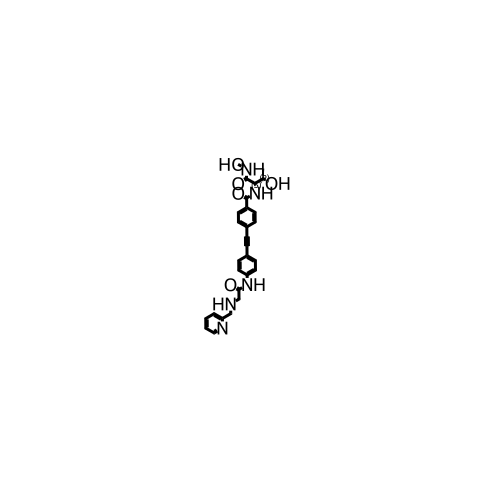 C[C@@H](O)[C@H](NC(=O)c1ccc(C#Cc2ccc(NC(=O)CNCc3ccccn3)cc2)cc1)C(=O)NO